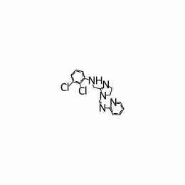 Clc1cccc(NCC2=NCCN2/C=N\c2ccccn2)c1Cl